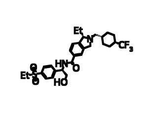 CC[C@H]1c2ccc(C(=O)N[C@@H](CO)c3ccc(S(=O)(=O)CC)cc3)cc2CN1C[C@H]1CC[C@H](C(F)(F)F)CC1